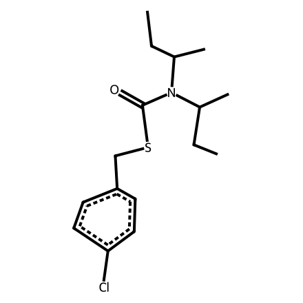 CCC(C)N(C(=O)SCc1ccc(Cl)cc1)C(C)CC